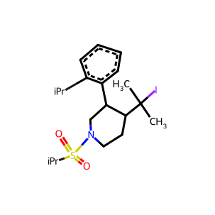 CC(C)c1ccccc1C1CN(S(=O)(=O)C(C)C)CCC1C(C)(C)I